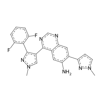 Cn1ccc(-c2cc3ncnc(-c4cn(C)nc4-c4c(F)cccc4F)c3cc2N)n1